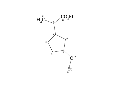 CCOC(=O)C(C)C1CCC(OCC)C1